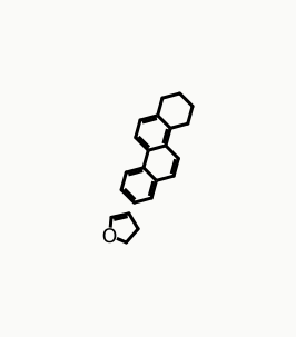 C1=COCC1.c1ccc2c(c1)ccc1c3c(ccc12)CCCC3